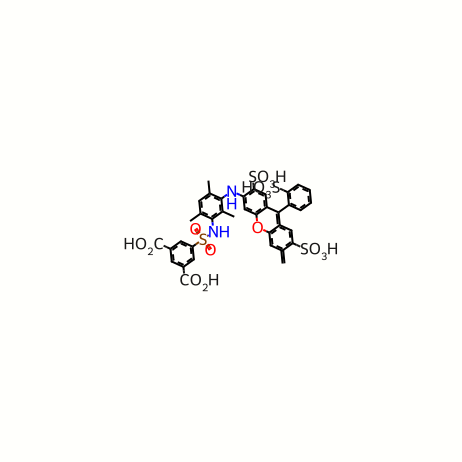 C=c1cc2c(cc1S(=O)(=O)O)=C(c1ccccc1S(=O)(=O)O)c1cc(S(=O)(=O)O)c(Nc3c(C)cc(C)c(NS(=O)(=O)c4cc(C(=O)O)cc(C(=O)O)c4)c3C)cc1O2